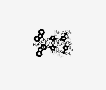 CC1=C([Si](C)(C)C2=C(C)C=C(C(C)(C)C)C2)CC(C(C)(C)C)=C1.CC1=CC(C)C([Si](C)(C)C2=C(C)C(C)=CC2C)=C1C.C[Si](C)(c1cccc2c1Cc1ccccc1-2)c1cccc2c1Cc1ccccc1-2